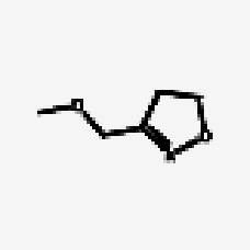 COCC1=NO[CH]C1